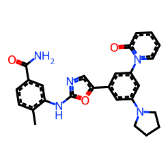 Cc1ccc(C(N)=O)cc1Nc1ncc(-c2cc(N3CCCC3)cc(-n3ccccc3=O)c2)o1